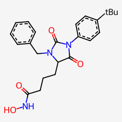 CC(C)(C)c1ccc(N2C(=O)C(CCCC(=O)NO)N(Cc3ccccc3)C2=O)cc1